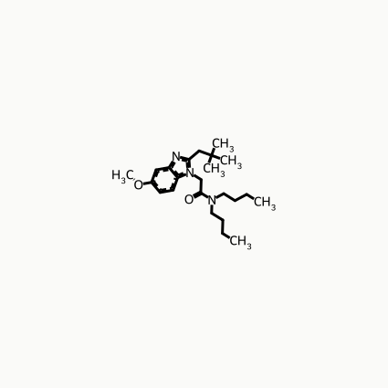 CCCCN(CCCC)C(=O)Cn1c(CC(C)(C)C)nc2cc(OC)ccc21